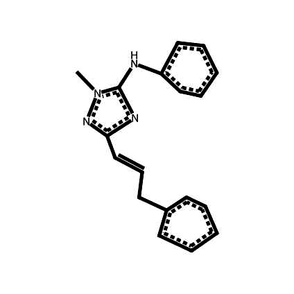 Cn1nc(/C=C/Cc2ccccc2)nc1Nc1ccccc1